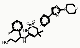 CC1(C)C=C(NC(CCO)c2ccccc2F)NS(=O)(=O)[C@@H]1c1ccc(-c2csc(N3CCOCC3)n2)cc1